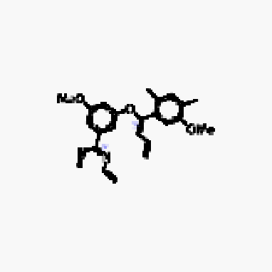 C=C/C=C(/Oc1cc(OC)cc(/C(N=C)=N/C=C)c1)c1cc(OC)c(C)cc1C